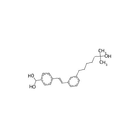 CC(C)(O)CCCCCc1cccc(C=Cc2ccc(C(O)O)cc2)c1